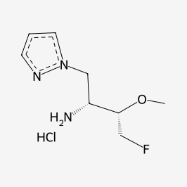 CO[C@H](CF)[C@H](N)Cn1cccn1.Cl